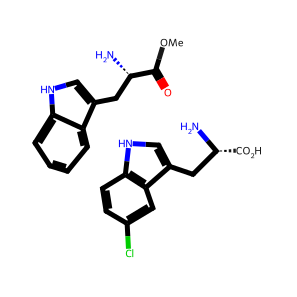 COC(=O)[C@@H](N)Cc1c[nH]c2ccccc12.N[C@@H](Cc1c[nH]c2ccc(Cl)cc12)C(=O)O